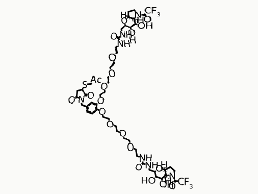 CC(=O)CSC1CC(=O)N(Cc2ccc(OCCOCCOCCOCCNC(=O)NCC3O[C@H]4CCN(C(=O)C(F)(F)F)[C@H]4C(O)C3O)c(OCCOCCOCCOCCNC(=O)NCC3O[C@H]4CCN(C(=O)C(F)(F)F)[C@H]4C(O)C3O)c2)C1=O